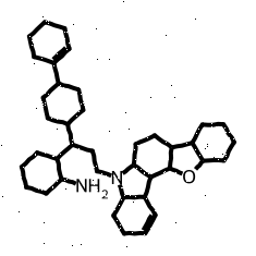 NC1CCCCC1C(CCN1C2CCC=CC2C2C3OC4CCCCC4C3CCC21)C1CCC(C2=CCCCC2)CC1